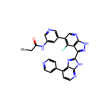 CC(C)(C)CC(=O)Nc1cncc(-c2cnc3[nH]nc(-c4nc5c(-c6ccncc6)ccnc5[nH]4)c3c2F)c1